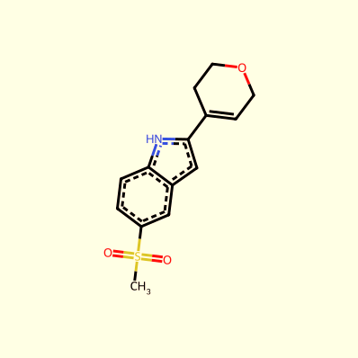 CS(=O)(=O)c1ccc2[nH]c(C3=CCOCC3)cc2c1